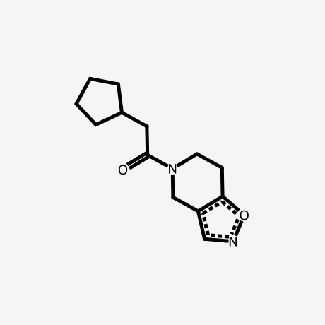 O=C(CC1CCCC1)N1CCc2oncc2C1